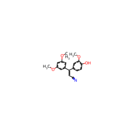 COc1cc(OC)cc(C(=CC#N)c2ccc(O)c(OC)c2)c1